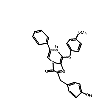 COc1ccc(Sc2[nH]c(-c3ccccc3)cn3c(=O)c(Cc4ccc(O)cc4)nc2-3)cc1